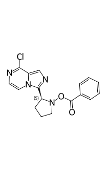 O=C(ON1CCC[C@H]1c1ncc2c(Cl)nccn12)c1ccccc1